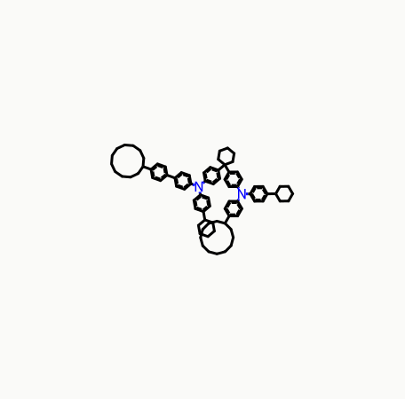 c1cc(C2CCCCCCCCCCC2)ccc1-c1ccc(N(c2ccc(C3CCCCC3)cc2)c2ccc(C3(c4ccc(N(c5ccc(C6CCCCCCCCCCC6)cc5)c5ccc(C6CCCCC6)cc5)cc4)CCCCC3)cc2)cc1